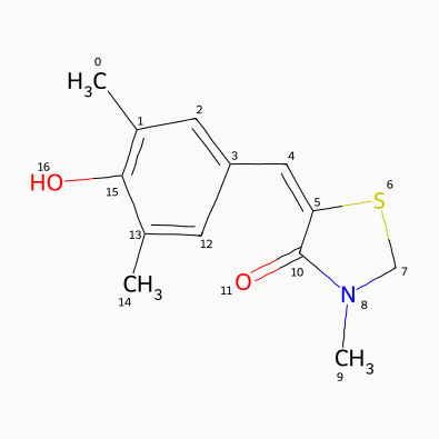 Cc1cc(C=C2SCN(C)C2=O)cc(C)c1O